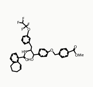 COC(=O)c1ccc(COc2ccc(C(O)C(Cc3cccc(OC(F)(F)C(F)F)c3)NC(=O)c3cccc4c3C=CCCC4)cc2)cc1